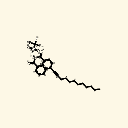 CCCCCCCCCCC#Cc1ccc2c3c(cccc13)C(=O)N(OS(=O)(=O)C(F)(F)F)C2=O